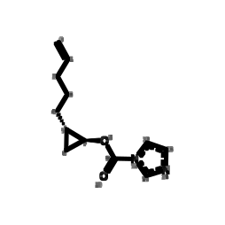 C=CCCC[C@H]1C[C@@H]1OC(=O)n1ccnc1